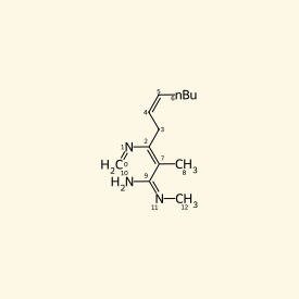 C=N/C(C/C=C\CCCC)=C(C)\C(N)=N/C